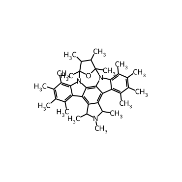 Cc1c(C)c(C)c2c(c1C)c1c3c(c4c5c(C)c(C)c(C)c(C)c5n5c4c1n2C1(C)OC5(C)C(C)C1C)C(C)N(C)C3C